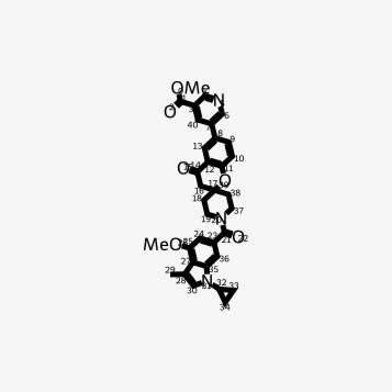 COC(=O)c1cncc(-c2ccc3c(c2)C(=O)CC2(CCN(C(=O)c4cc(OC)c5c(C)cn(C6CC6)c5c4)CC2)O3)c1